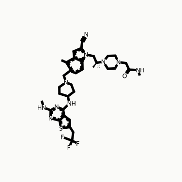 CNC(=O)CN1CCN([C@@H](C)Cn2c(C#N)cc3c(C)c(CN4CCC(Nc5nc(NC)nc6sc(CC(F)(F)F)cc56)CC4)ccc32)CC1